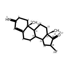 C[C@]12CCC(=N)C=C1CCC1C2CC[C@]2(C)C(=O)C(F)CC12